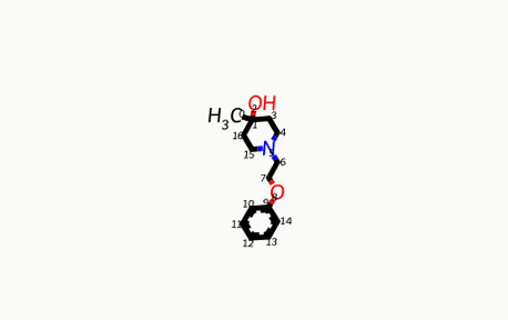 CC1(O)CCN(CCOc2ccccc2)CC1